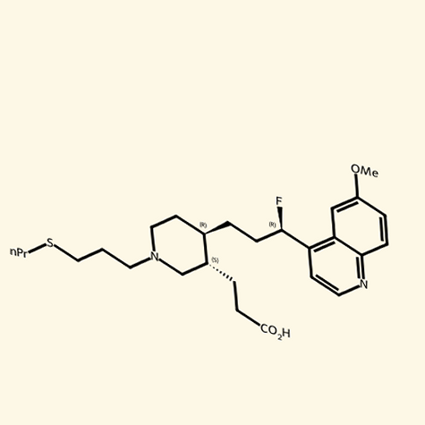 CCCSCCCN1CC[C@@H](CC[C@@H](F)c2ccnc3ccc(OC)cc23)[C@H](CCC(=O)O)C1